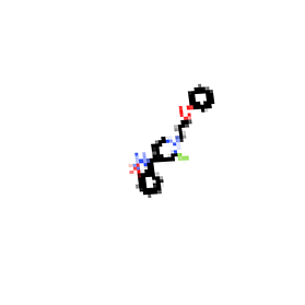 FC1CC(c2noc3ccccc23)CCN1CCCOc1ccccc1